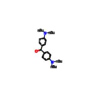 CCCCN(CCCC)c1ccc(C(=O)c2ccc(N(CCCC)CCCC)cc2)cc1